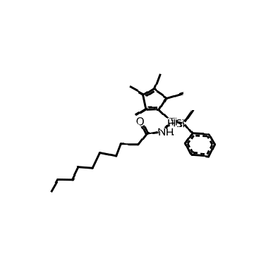 CCCCCCCCCC(=O)[NH][Ti]([C]1=C(C)C(C)=C(C)C1C)[SiH](C)c1ccccc1